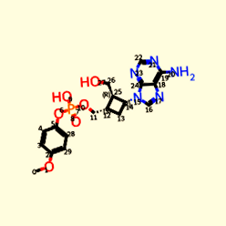 COc1ccc(OP(=O)(O)OC[C@H]2C[C@@H](n3cnc4c(N)ncnc43)[C@@H]2CO)cc1